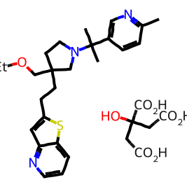 CCOCC1(CCc2cc3ncccc3s2)CCN(C(C)(C)c2ccc(C)nc2)C1.O=C(O)CC(O)(CC(=O)O)C(=O)O